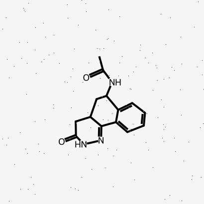 CC(=O)NC1CC2CC(=O)NN=C2c2ccccc21